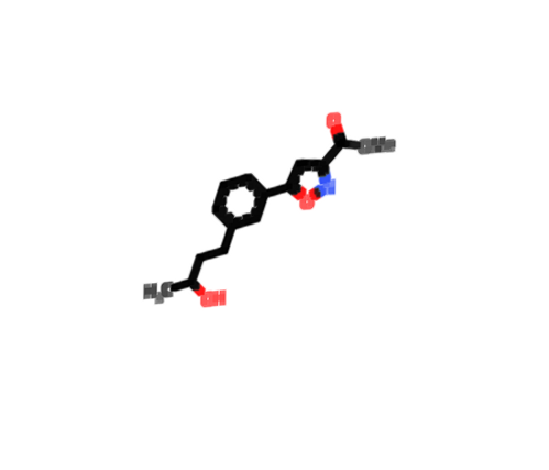 COC(=O)c1cc(-c2cccc(CCC(C)O)c2)on1